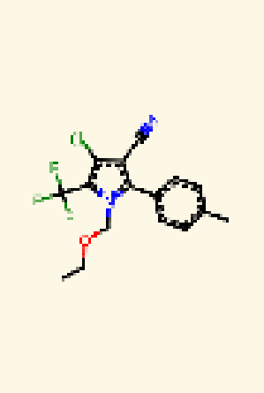 CCOCn1c(-c2ccc(C)cc2)c(C#N)c(Cl)c1C(F)(F)F